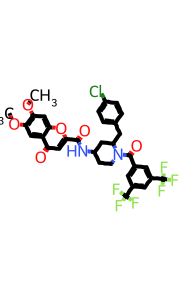 COc1cc2oc(C(=O)NC3CCN(C(=O)c4cc(C(F)(F)F)cc(C(F)(F)F)c4)C(Cc4ccc(Cl)cc4)C3)cc(=O)c2cc1OC